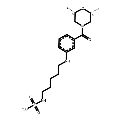 C[C@@H]1CN(C(=O)c2cccc(NCCCCCNS(=O)(=O)C(C)(C)C)c2)C[C@H](C)O1